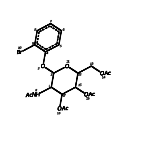 CC(=O)NC1C(Oc2ccccc2Br)OC(COC(C)=O)C(OC(C)=O)C1OC(C)=O